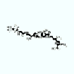 Cn1cc(Nc2nc(C(N)CCNC(=N)CNC(=O)OC(C)(C)C)cn2C)cc1C(=O)NCCC(N)c1cn(C)c(C(=O)O)n1